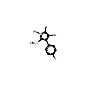 CCOC(=O)c1c(-c2ccc(F)cc2)c(C(C)=O)c(C)n1C(C)=O